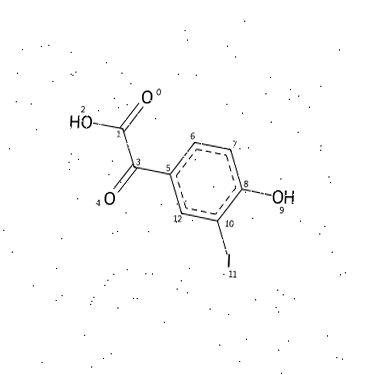 O=C(O)C(=O)c1ccc(O)c(I)c1